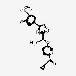 CNc1ccc(-c2noc(C(C)Oc3ccc(C(=O)C4CC4)nc3)n2)cc1F